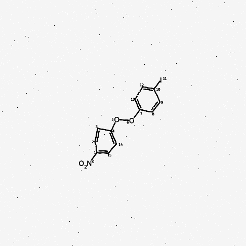 O=[N+]([O-])c1ccc(OOc2ccc(I)cc2)cc1